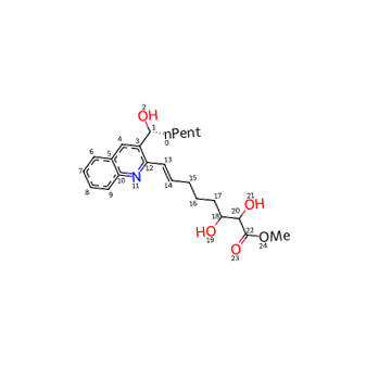 CCCCC[C@@H](O)c1cc2ccccc2nc1C=CCCCC(O)C(O)C(=O)OC